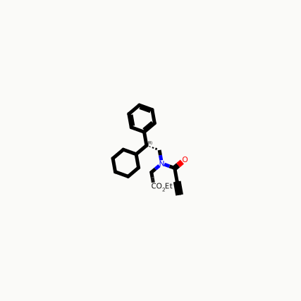 C#CC(=O)N(CC(=O)OCC)C[C@@H](c1ccccc1)C1CCCCC1